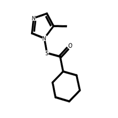 Cc1cncn1SC(=O)C1CCCCC1